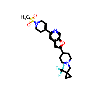 CS(=O)(=O)N1CC=C(c2cc3cc(C4CCN(CC5(C(F)(F)F)CC5)CC4)oc3cn2)CC1